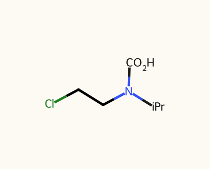 CC(C)N(CCCl)C(=O)O